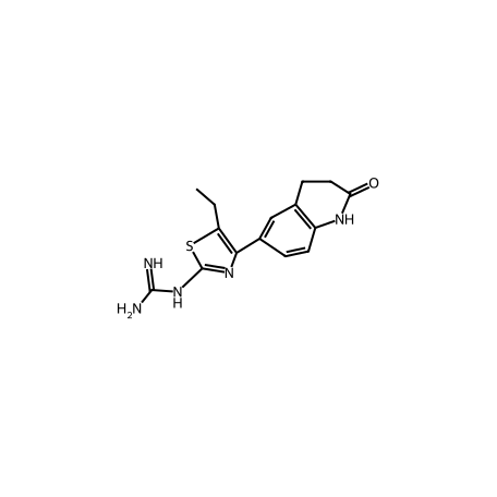 CCc1sc(NC(=N)N)nc1-c1ccc2c(c1)CCC(=O)N2